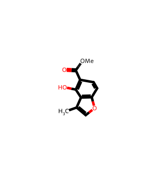 COC(=O)c1ccc2occ(C)c2c1O